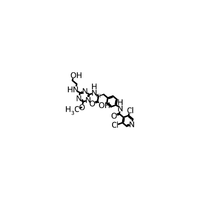 COc1nc(NCCO)nc(N[C@@H](Cc2ccc(NC(=O)c3c(Cl)cncc3Cl)cc2)C(=O)O)n1